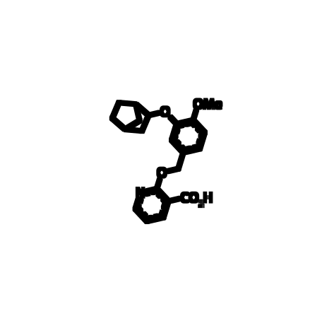 COc1ccc(COc2ncccc2C(=O)O)cc1OC1CC2CCC1C2